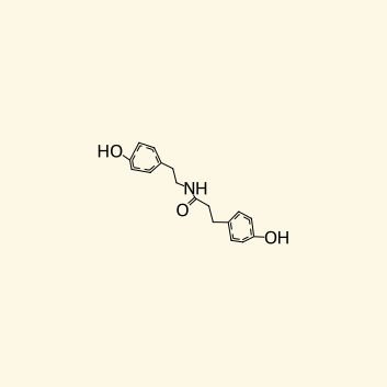 O=C(CCc1ccc(O)cc1)NCCc1ccc(O)cc1